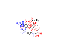 CC(O)C(=O)O.CN[C@@H]1[C@H](O[C@H]2[C@H](O[C@H]3[C@H](O)[C@@H](O)[C@H](NC(=N)N)[C@@H](O)[C@@H]3NC(=N)N)O[C@@H](C)[C@]2(O)C=O)O[C@@H](CO)[C@H](O)[C@H]1O